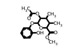 COC(=O)C1OC(Oc2ccccc2O)C(OC(C)=O)C(C)C1C